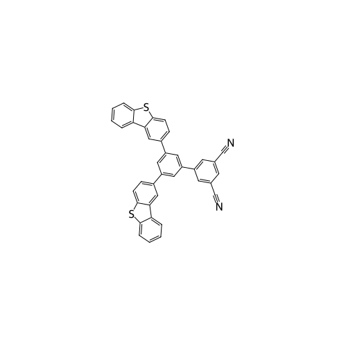 N#Cc1cc(C#N)cc(-c2cc(-c3ccc4sc5ccccc5c4c3)cc(-c3ccc4sc5ccccc5c4c3)c2)c1